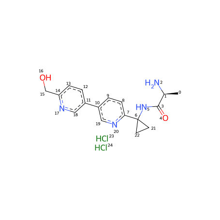 C[C@H](N)C(=O)NC1(c2ccc(-c3ccc(CO)nc3)cn2)CC1.Cl.Cl